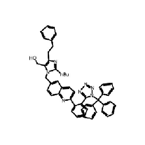 CCCCc1nc(CCc2ccccc2)c(CO)n1Cc1ccc2nc(-c3ccccc3-c3nnnn3C(c3ccccc3)(c3ccccc3)c3ccccc3)ccc2c1